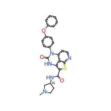 CN1CC[C@H](NC(=O)c2sc3nccc4c3c2NC(=O)N4c2ccc(Oc3ccccc3)cc2)C1